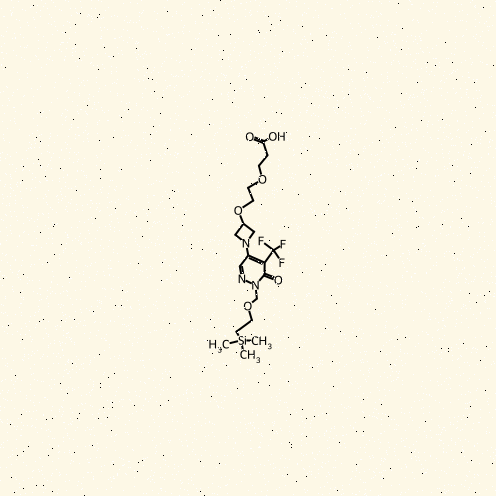 C[Si](C)(C)CCOCn1ncc(N2CC(OCCOCCC(=O)O)C2)c(C(F)(F)F)c1=O